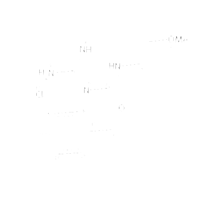 COCCNC(=O)N(C(=N)N)c1c(C)cccc1Cl